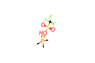 C[PH](C)(C)C.O=S(=O)(O)C(F)(F)F